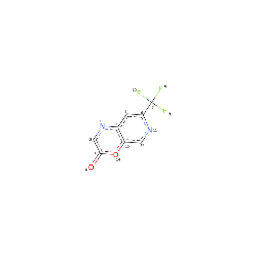 O=c1cnc2cc(C(F)(F)F)ncc2o1